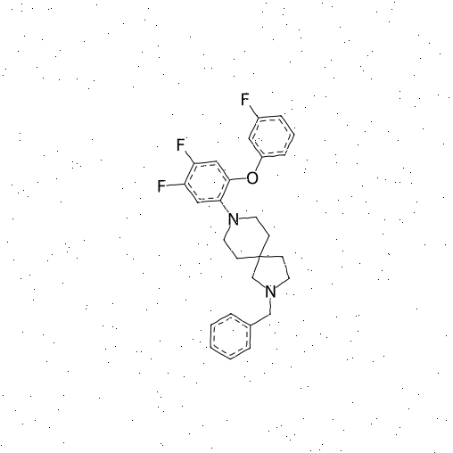 Fc1cccc(Oc2cc(F)c(F)cc2N2CCC3(CCN(Cc4ccccc4)C3)CC2)c1